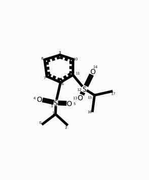 CC(C)S(=O)(=O)c1c[c]ccc1S(=O)(=O)C(C)C